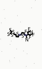 CSC1=C(SC)SC(=c2cc/c(=c3/cc/c(=C(/C#N)c4c(F)c(F)nc(F)c4F)s3)s2)S1